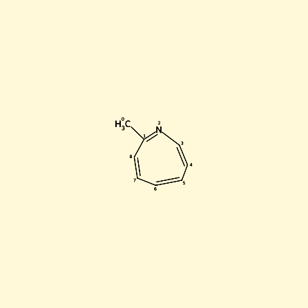 CC1=NC=CC=CC=C1